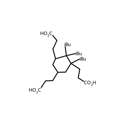 CCC(C)C1(CCC(=O)O)CC(CCC(=O)O)CC(CCC(=O)O)C1(C(C)CC)C(C)CC